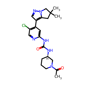 CC(=O)N1CCC[C@@H](NC(=O)Nc2cc(-c3cnn4c3CC(C)(C)C4)c(Cl)cn2)C1